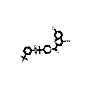 CC(C)(C1CCN(C(=O)c2cc(O)c3ccc(Cl)cc3n2)CC1)S(=O)(=O)c1cccc(C(F)(F)F)c1